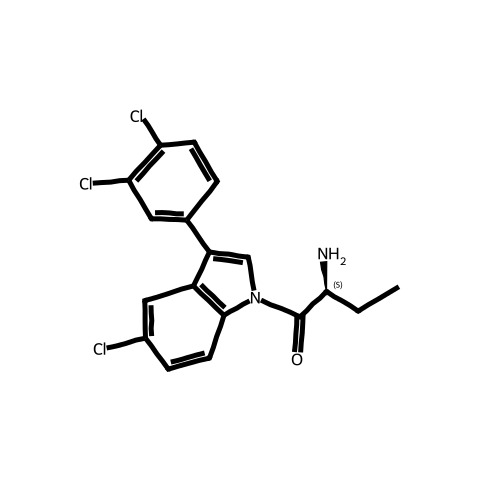 CC[C@H](N)C(=O)n1cc(-c2ccc(Cl)c(Cl)c2)c2cc(Cl)ccc21